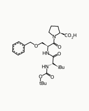 CC[C@H](C)[C@H](NC(=O)OC(C)(C)C)C(=O)N[C@@H](COCc1ccccc1)C(=O)N1CCC[C@H]1C(=O)O